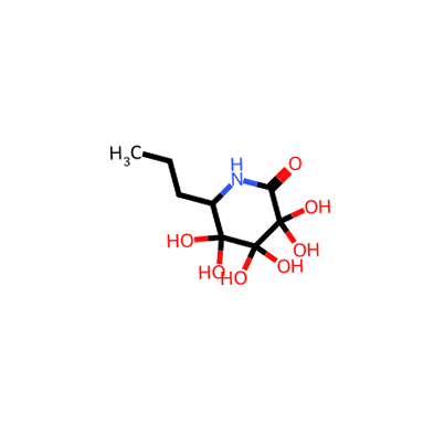 CCCC1NC(=O)C(O)(O)C(O)(O)C1(O)O